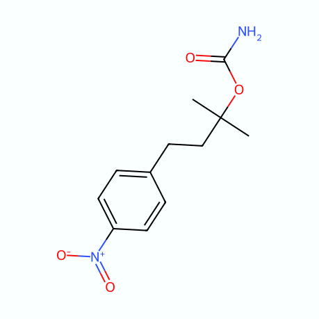 CC(C)(CCc1ccc([N+](=O)[O-])cc1)OC(N)=O